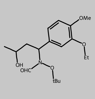 CCOc1cc(C(CC(C)O)N(C=O)OC(C)(C)C)ccc1OC